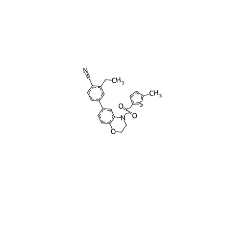 CCc1cc(-c2ccc3c(c2)N(S(=O)(=O)c2ccc(C)s2)CCO3)ccc1C#N